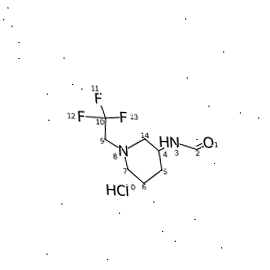 Cl.O=CNC1CCCN(CC(F)(F)F)C1